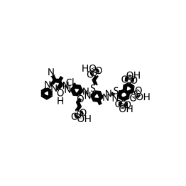 Cc1cc(N=Nc2cc(Cl)c(N=Nc3c(C)c(C#N)c4nc5ccccc5n4c3O)cc2OCCCS(=O)(=O)O)c(SCCCS(=O)(=O)O)cc1N=Nc1nc2c(S(=O)(=O)O)cc3c(S(=O)(=O)O)cc(S(=O)(=O)O)cc3c2s1